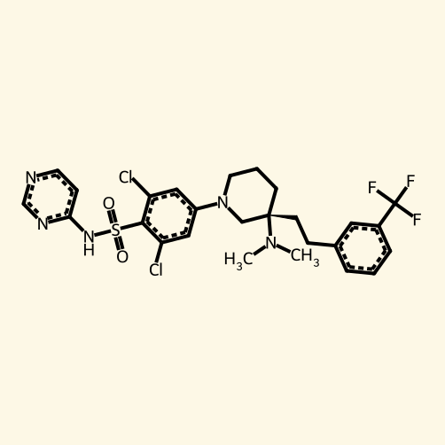 CN(C)[C@@]1(CCc2cccc(C(F)(F)F)c2)CCCN(c2cc(Cl)c(S(=O)(=O)Nc3ccncn3)c(Cl)c2)C1